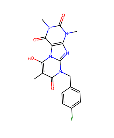 Cc1c(O)n2c3c(=O)n(C)c(=O)n(C)c3nc2n(Cc2ccc(F)cc2)c1=O